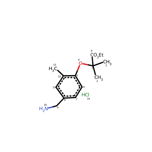 CCOC(=O)C(C)(C)Oc1ccc(CN)cc1C.Cl